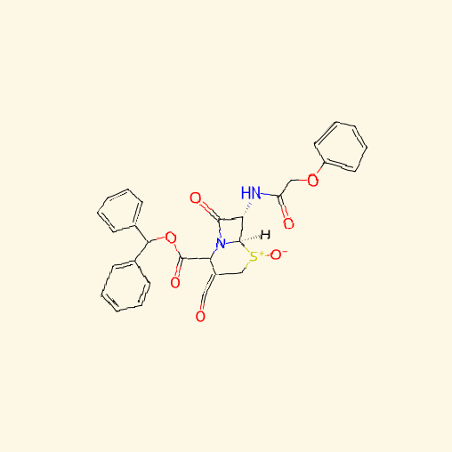 O=C=C1C[S+]([O-])[C@@H]2[C@@H](NC(=O)COc3ccccc3)C(=O)N2C1C(=O)OC(c1ccccc1)c1ccccc1